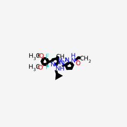 C=CC(=O)Nc1cccc(C/N=C2/C(=C)C=C(c3c(F)c(OC)cc(OC)c3F)N=C2NCC2CC2)c1N